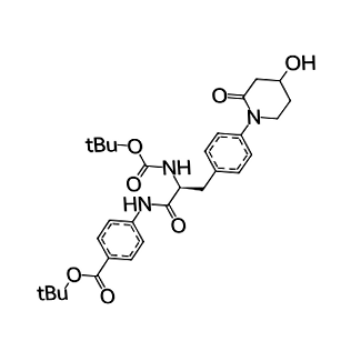 CC(C)(C)OC(=O)N[C@@H](Cc1ccc(N2CCC(O)CC2=O)cc1)C(=O)Nc1ccc(C(=O)OC(C)(C)C)cc1